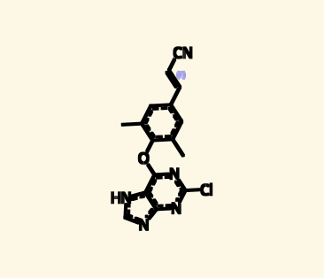 Cc1cc(/C=C/C#N)cc(C)c1Oc1nc(Cl)nc2nc[nH]c12